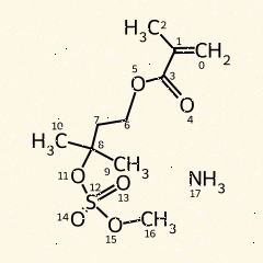 C=C(C)C(=O)OCCC(C)(C)OS(=O)(=O)OC.N